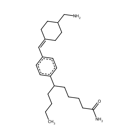 CCCCC(CCCCC(N)=O)c1ccc(C=C2CCC(CN)CC2)cc1